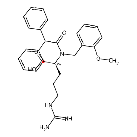 COc1ccccc1CN(C(=O)C(c1ccccc1)c1ccccc1)[C@@H](CCCNC(=N)N)C(=O)O